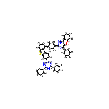 c1ccc(-c2nc(-c3ccccc3)nc(-c3ccc4c(c3)sc3cccc(-c5ccc(-c6nc(-c7ccccc7)c7oc8ccccc8c7n6)cc5)c34)n2)cc1